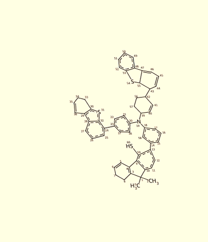 CC1(C)C2=C(C=CCC2)c2c1ccc(-c1cccc(N(c3ccc(-c4cccc5c6c(sc45)CCC=C6)cc3)C3C=CC(C4C=CC=C5c6ccccc6SC54)CC3)c1)c2S